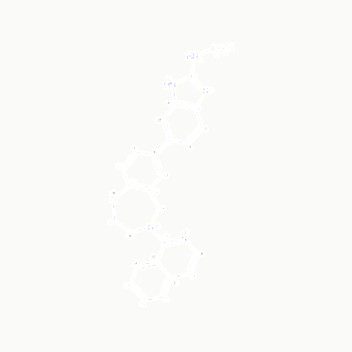 O=C(O)Nc1nc2ccc(-c3ccc4c(c3)CN(c3nccc5ccccc35)CCO4)cc2[nH]1